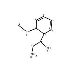 COC1C=CC=CC1C(O)CN